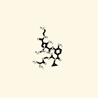 CCCNC(=O)c1cn(NC)c(C(=N)Nc2cc(C(=O)N(C(=O)OCOC(=O)[C@H](C)N)C3CC3)ccc2C)c1C